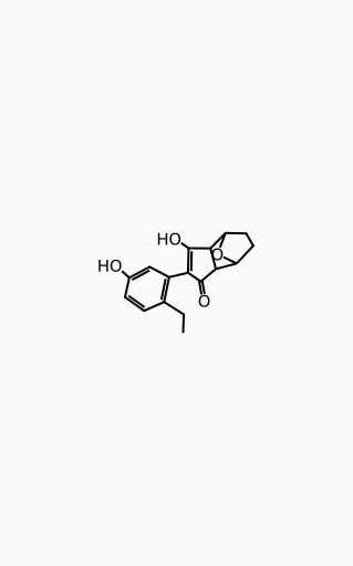 CCc1ccc(O)cc1C1=C(O)C2C3CCC(O3)C2C1=O